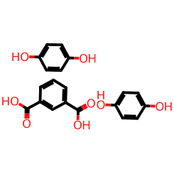 O=C(O)c1cccc(C(=O)O)c1.Oc1ccc(O)cc1.Oc1ccc(O)cc1